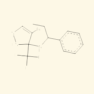 CCC(NC1(C(F)(F)F)N[N]C=C1Br)c1ccccc1